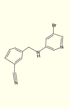 N#Cc1cccc(CNc2cncc(Br)c2)c1